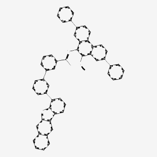 C=Nc1c(/N=C(\C)c2cccc(-c3cccc(-c4cccc5c4oc4cc6ccccc6cc45)c3)c2)c2cc(-c3ccccc3)ccc2c2ccc(-c3ccccc3)cc12